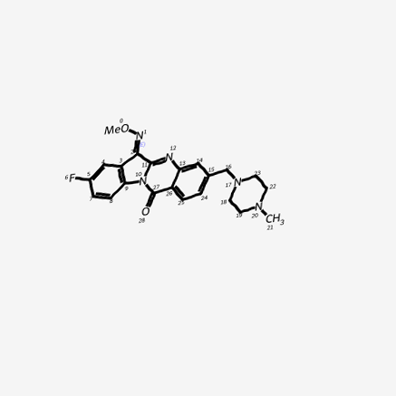 CO/N=C1\c2cc(F)ccc2-n2c1nc1cc(CN3CCN(C)CC3)ccc1c2=O